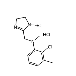 CCN1CCN=C1CN(C)c1cccc(C)c1Cl.Cl